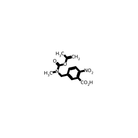 C=C(C)OC(=O)N(C)Cc1ccc([N+](=O)[O-])c(C(=O)O)c1